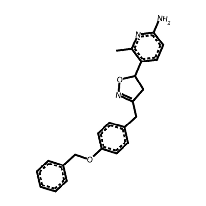 Cc1nc(N)ccc1C1CC(Cc2ccc(OCc3ccccc3)cc2)=NO1